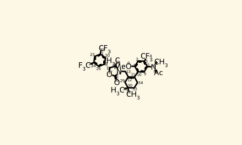 COc1cc(C(F)(F)F)c(N(C)C(C)=O)cc1C1=C(CN2C(=O)O[C@H](c3cc(C(F)(F)F)cc(C(F)(F)F)c3)[C@@H]2C)CC(C)(C)CC1